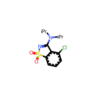 CC(C)N(C1=NS(=O)(=O)c2cccc(Cl)c21)C(C)C